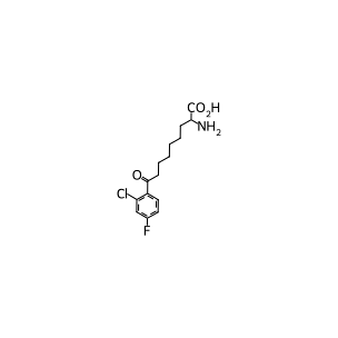 NC(CCCCCCC(=O)c1ccc(F)cc1Cl)C(=O)O